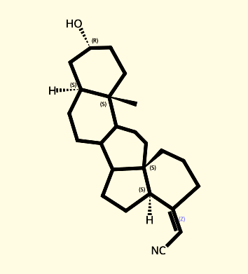 C[C@]12CC[C@@H](O)C[C@@H]1CCC1C3CC[C@@H]4/C(=C\C#N)CCC[C@]34CCC12